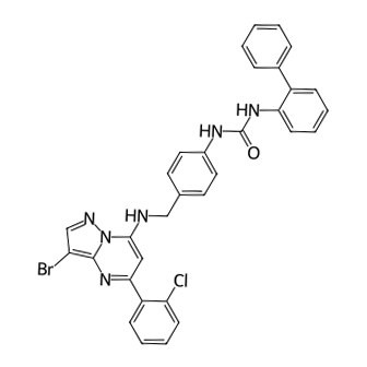 O=C(Nc1ccc(CNc2cc(-c3ccccc3Cl)nc3c(Br)cnn23)cc1)Nc1ccccc1-c1ccccc1